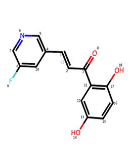 O=C(/C=C/c1cncc(F)c1)c1cc(O)ccc1O